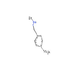 CC[N]Cc1ccc(S(=O)(=O)O)cc1